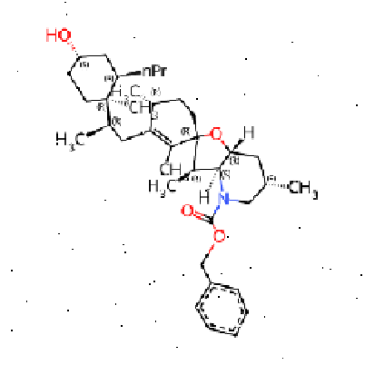 CCC[C@@H]1C[C@@H](O)CC[C@]1(C)[C@H](C)CC1=C(C)[C@]2(CC[C@H]1C)O[C@@H]1C[C@H](C)CN(C(=O)OCc3ccccc3)[C@H]1[C@H]2C